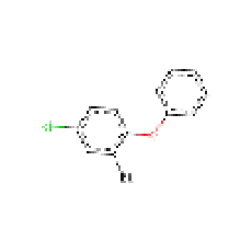 CCc1cc(Cl)ccc1Oc1ccccc1